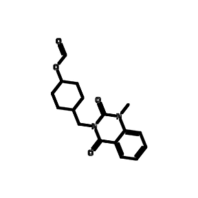 Cn1c(=O)n(CC2CCC(OC=O)CC2)c(=O)c2ccccc21